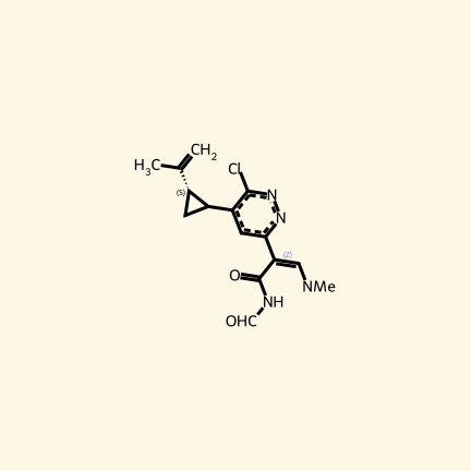 C=C(C)[C@H]1CC1c1cc(/C(=C/NC)C(=O)NC=O)nnc1Cl